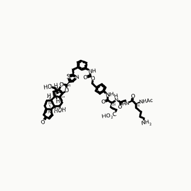 CC(=O)N[C@@H](CCCCN)C(=O)NCC(=O)N[C@@H](CCC(=O)O)C(=O)Nc1ccc(COC(=O)Nc2cccc(Cc3ncc([C@@H]4O[C@@H]5C[C@H]6[C@@H]7CCC8=CC(=O)C=C[C@]8(C)[C@H]7[C@@H](O)C[C@]6(C)[C@]5(C(=O)CO)O4)s3)c2)cc1